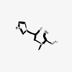 CN(CC(=O)n1ccnc1)C(=N)N